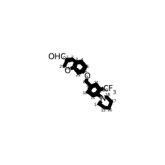 O=CC1=Cc2ccc(OCc3ccc(N4CCCCC4)c(C(F)(F)F)c3)cc2OC1